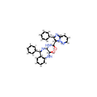 O=C(NC1N=C(c2ccccc2)c2ccccc2NC1=O)c1c(-c2ccccc2)nc2cccnn12